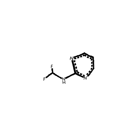 FC(F)Nc1ncccn1